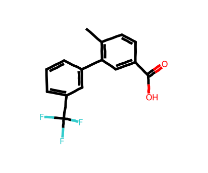 Cc1ccc(C(=O)O)cc1-c1cccc(C(F)(F)F)c1